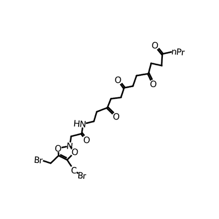 CCCC(=O)CCC(=O)CCC(=O)CCC(=O)CCNC(=O)CN1OC(CBr)=C(CBr)O1